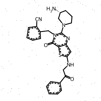 N#Cc1ccccc1Cn1c(N2CCC[C@@H](N)C2)nc2cc(NCC(=O)c3ccccc3)sc2c1=O